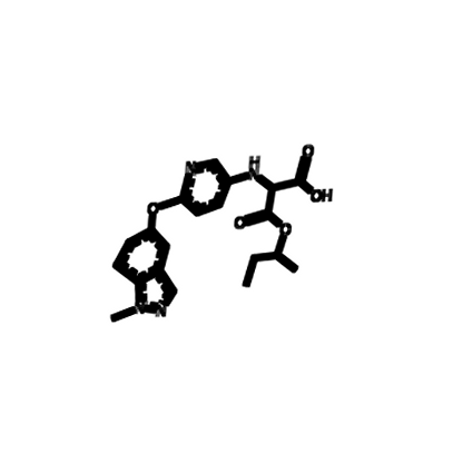 CCC(C)OC(=O)C(Nc1ccc(Oc2ccc3c(cnn3C)c2)nc1)C(=O)O